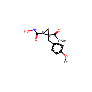 CCOc1ccc(C[C@]2(C(=O)OC)C[C@@H]2C(=O)NO)cc1